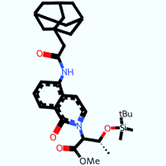 COC(=O)C([C@@H](C)O[Si](C)(C)C(C)(C)C)n1ccc2c(NC(=O)CC34CC5CC(CC(C5)C3)C4)cccc2c1=O